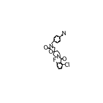 N#Cc1ccc(CN2CC3(CCN(C(=O)c4c(F)cccc4Cl)CC3)OC2=O)cc1